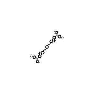 COc1ccc(N(c2cccnc2)c2ccc3c(c2)C(C)(C)c2cc(/C=C/c4ccc(/C=C/c5ccc6c(c5)C(C)(C)c5cc(N(c7ccc(OC)cc7)c7cccnc7)ccc5-6)cc4)ccc2-3)cc1